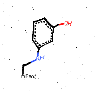 CCCCCCNc1cccc(O)c1